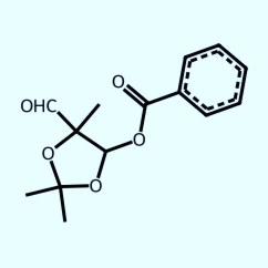 CC1(C)OC(OC(=O)c2ccccc2)C(C)(C=O)O1